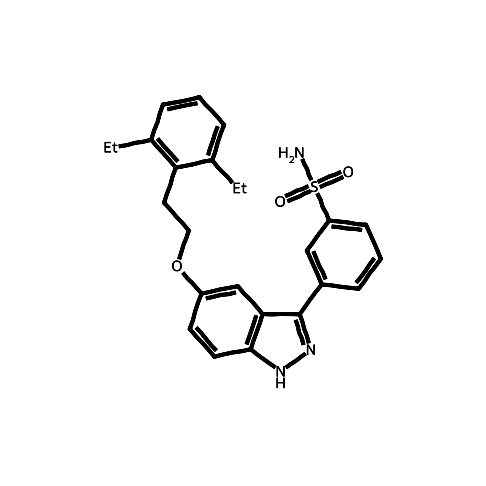 CCc1cccc(CC)c1CCOc1ccc2[nH]nc(-c3cccc(S(N)(=O)=O)c3)c2c1